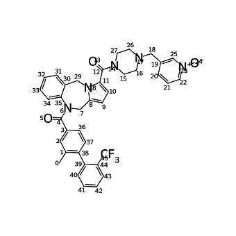 Cc1cc(C(=O)N2Cc3ccc(C(=O)N4CCN(Cc5ccc[n+]([O-])c5)CC4)n3Cc3ccccc32)ccc1-c1ccccc1C(F)(F)F